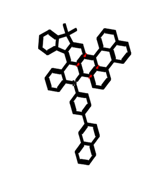 CC1(C)c2ccccc2-c2c(-c3ccccc3N(c3ccc(-c4ccc5ccccc5c4)cc3)c3ccc(-c4cccc5cccc(-c6ccccc6)c45)cc3)cccc21